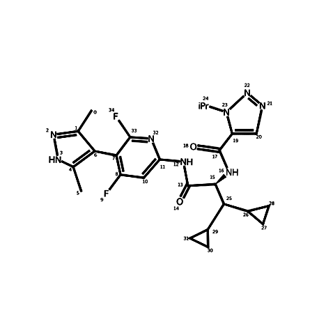 Cc1n[nH]c(C)c1-c1c(F)cc(NC(=O)[C@@H](NC(=O)c2cnnn2C(C)C)C(C2CC2)C2CC2)nc1F